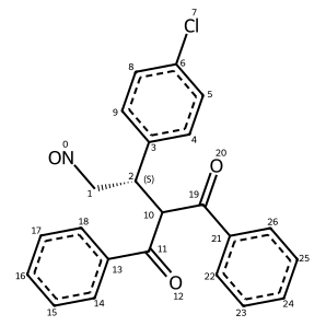 O=NC[C@H](c1ccc(Cl)cc1)C(C(=O)c1ccccc1)C(=O)c1ccccc1